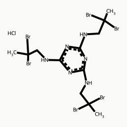 CC(Br)(Br)CNc1nc(NCC(C)(Br)Br)nc(NCC(C)(Br)Br)n1.Cl